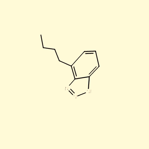 [CH2]CCCc1cccc2[nH]nnc12